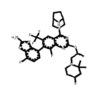 CC(CN1CCC(F)CC1(C)C)Oc1nc(N2CC3CCC(C2)N3)c2cc(C(F)(F)F)c(-c3ccc(F)c4sc(N)nc34)c(F)c2n1